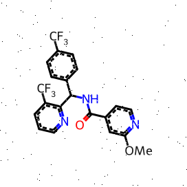 COc1cc(C(=O)NC(c2ccc(C(F)(F)F)cc2)c2ncccc2C(F)(F)F)ccn1